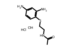 CC(=O)NCCSc1ccc(N)cc1N.Cl.Cl